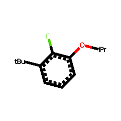 CC(C)Oc1cccc(C(C)(C)C)c1F